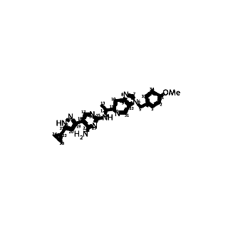 COc1ccc(Cn2cnc3cc(C(C)Nc4ncc(-c5cc(C6CC6)[nH]n5)c(N)n4)ncc32)cc1